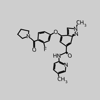 Cc1ccc(NC(=O)c2cc(Oc3ccc(C(=O)N4CCCC4)c(F)c3)c3cn(C)nc3c2)nc1